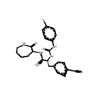 N#Cc1ccc(C[C@H](NC(=O)Nc2ccc(F)cc2)C(=O)NC2CCCCNC2=O)cc1